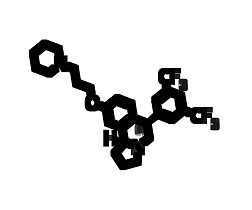 FC(F)(F)c1cc([C@H]2CN3CCC[C@H]3c3cc(OCCCN4CCCCC4)ccc32)cc(C(F)(F)F)c1